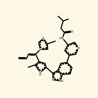 C=C/C=C(\c1cc(-c2n[nH]c3ccc(-c4cncc(NC(=O)CC(C)C)c4)cc23)[nH]c1C)n1cnc(C)c1